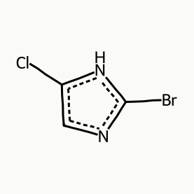 Clc1cnc(Br)[nH]1